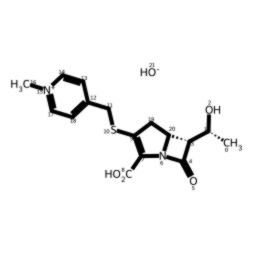 C[C@@H](O)[C@@H]1C(=O)N2C(C(=O)O)=C(SCc3cc[n+](C)cc3)CC12.[OH-]